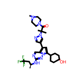 C[C@@H](CC(F)(F)F)Nc1ncc2c(-c3cnn(C(C)(C)C(=O)N4CCN(C)CC4)c3)cc(C3CCC(O)CC3)n2n1